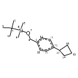 CC(C)(C)[Si](C)(C)OCc1ccc(C2CCC2)cc1